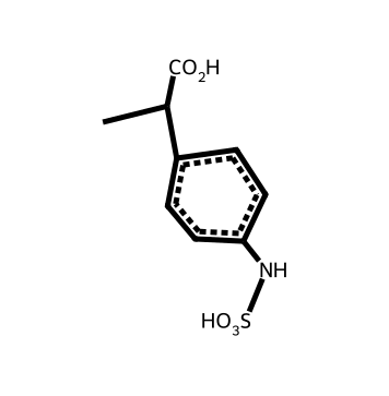 CC(C(=O)O)c1ccc(NS(=O)(=O)O)cc1